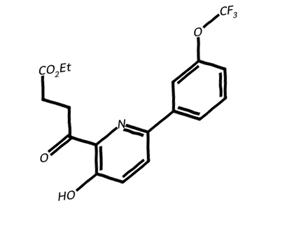 CCOC(=O)CCC(=O)c1nc(-c2cccc(OC(F)(F)F)c2)ccc1O